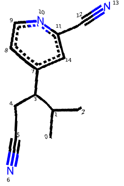 CC(C)C(CC#N)c1ccnc(C#N)c1